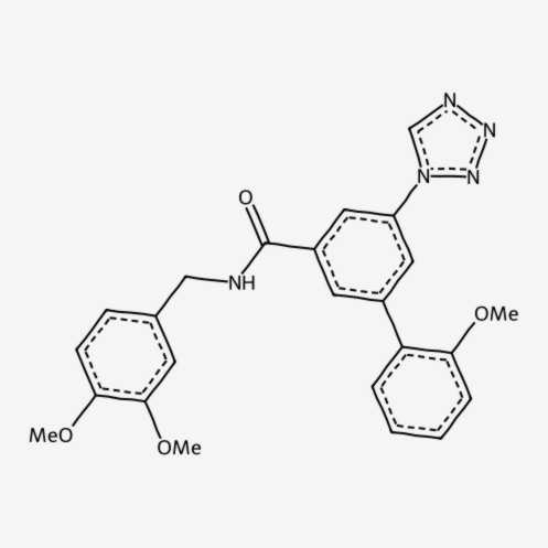 COc1ccc(CNC(=O)c2cc(-c3ccccc3OC)cc(-n3cnnn3)c2)cc1OC